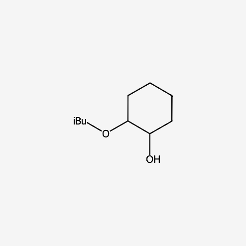 CCC(C)OC1CCCCC1O